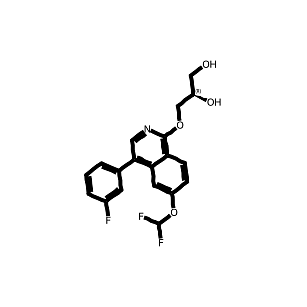 OC[C@@H](O)COc1ncc(-c2cccc(F)c2)c2cc(OC(F)F)ccc12